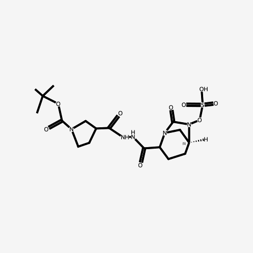 CC(C)(C)OC(=O)N1CCC(C(=O)NNC(=O)C2CC[C@H]3CN2C(=O)N3OS(=O)(=O)O)C1